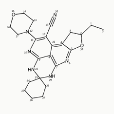 CCC1Cc2c(nc3c4c(nc(N5CCOCC5)c(C#N)c24)NC2(CCCCC2)N3)O1